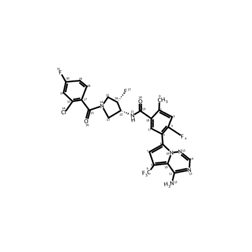 Cc1cc(F)c(-c2cc(C(F)(F)F)c3c(N)ncnn23)cc1C(=O)N[C@@H]1CN(C(=O)c2ccc(F)cc2Cl)C[C@@H]1F